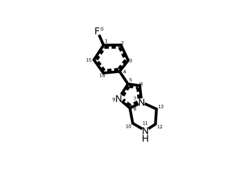 Fc1ccc(-c2[c]n3c(n2)CNCC3)cc1